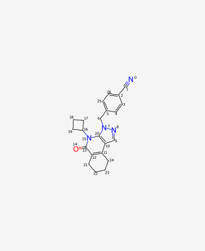 N#Cc1ccc(Cn2ncc3c4c(c(=O)n(C5CCC5)c32)CCCC4)cc1